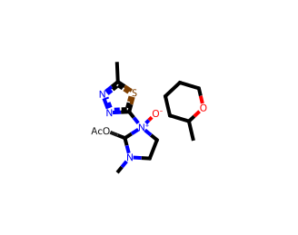 CC(=O)OC1N(C)CC[N+]1([O-])c1nnc(C)s1.CC1CCCCO1